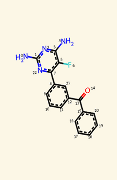 Nc1nc(N)c(F)c(-c2cccc(C(=O)c3ccccc3)c2)n1